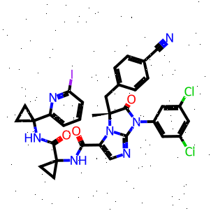 C[C@@]1(Cc2ccc(C#N)cc2)C(=O)N(c2cc(Cl)cc(Cl)c2)c2ncc(C(=O)NC3(C(=O)NC4(c5cccc(I)n5)CC4)CC3)n21